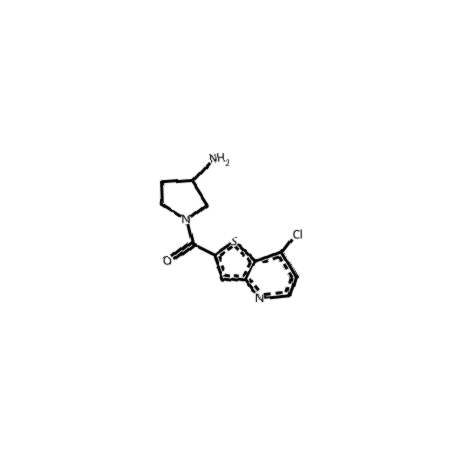 NC1CCN(C(=O)c2cc3nccc(Cl)c3s2)C1